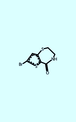 O=C1NCCSc2cc(Br)sc21